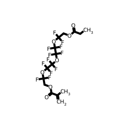 C=C(C)C(=O)OCC(F)(F)OC(F)(F)C(F)(F)OC(F)(F)C(F)(F)OC(F)(F)COC(=O)CC